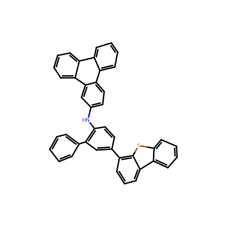 c1ccc(-c2cc(-c3cccc4c3sc3ccccc34)ccc2Nc2ccc3c4ccccc4c4ccccc4c3c2)cc1